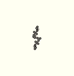 c1ccc2c(c1)ccc1c3cc(-c4c5ccccc5c(-c5ccc6c7ccccc7c7ccc(-c8ccc9ccc%10ccc(-c%11c%12ccccc%12c(-c%12ccc%13oc%14c%15ccccc%15ccc%14c%13c%12)c%12ccccc%11%12)c%11ccc8c9c%10%11)cc7c6c5)c5ccccc45)ccc3oc21